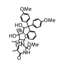 COC[C@@]1(n2cc(C)c(=O)[nH]c2=O)O[C@H](C(O)C(c2ccccc2)(c2ccc(OC)cc2)c2ccc(OC)cc2)[C@](O)(C(C)(C)C)C1[SiH](C)C